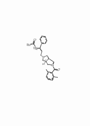 CCC(C)C(=O)NC(CCN1CC2CN(C(=O)c3c(C)cccc3C)C[C@@H]2C1)c1ccccc1